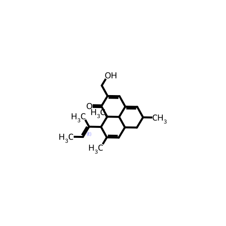 C/C=C(\C)C1C(C)=CC2CC(C)C=C3C=C(CO)C(=O)C1(C)C32